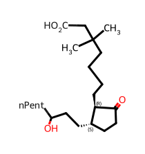 CCCCCC(O)CC[C@H]1CCC(=O)[C@@H]1CCCCC(C)(C)CC(=O)O